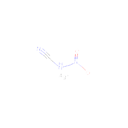 N#CN[N+](=O)[O-].[Ag+]